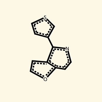 c1cc2occc2c(-c2ccsc2)n1